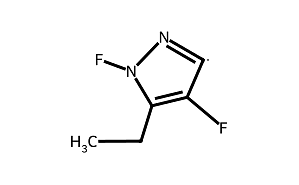 CCc1c(F)[c]nn1F